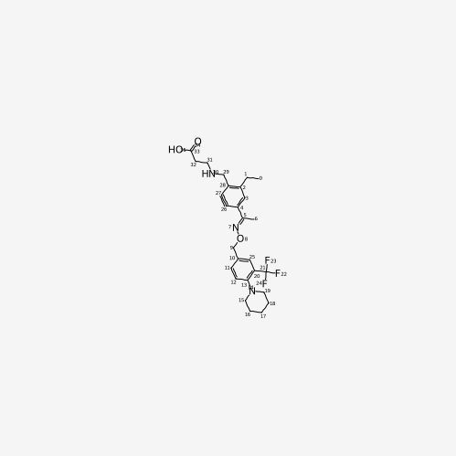 CCc1cc(/C(C)=N/OCc2ccc(N3CCCCC3)c(C(F)(F)F)c2)c#cc1CNCCC(=O)O